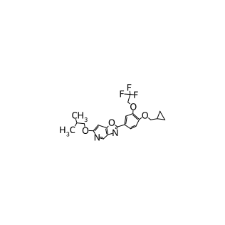 CC(C)COc1cc2oc(-c3ccc(OCC4CC4)c(OCC(F)(F)F)c3)nc2cn1